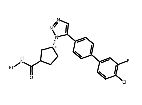 CCNC(=O)C1CC[C@@H](n2nncc2-c2ccc(-c3ccc(Cl)c(F)c3)cc2)C1